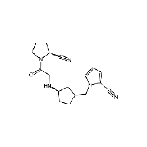 N#Cc1cccn1CC1CC[C@@H](NCC(=O)N2CCC[C@H]2C#N)C1